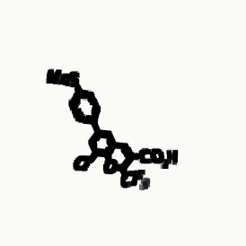 CSc1ccc(-c2cc(Cl)c3c(c2)C=C(C(=O)O)C(C(F)(F)F)O3)cc1